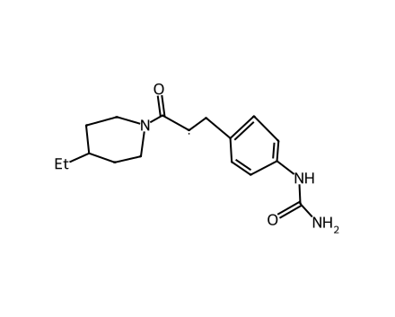 CCC1CCN(C(=O)[CH]Cc2ccc(NC(N)=O)cc2)CC1